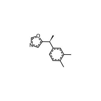 Cc1ccc([C@H](C)c2cnco2)cc1C